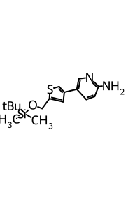 CC(C)(C)[Si](C)(C)OCc1cc(-c2ccc(N)nc2)cs1